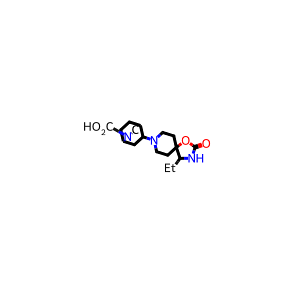 CCC1NC(=O)OC12CCN(C1CC3CCC1CN3C(=O)O)CC2